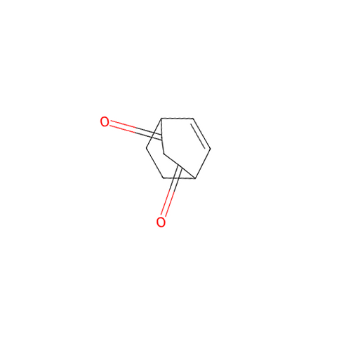 O=C1CC(=O)C2C=CC1CC2